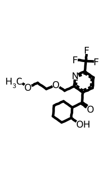 COCCOCc1nc(C(F)(F)F)ccc1C(=O)C1CCCCC1O